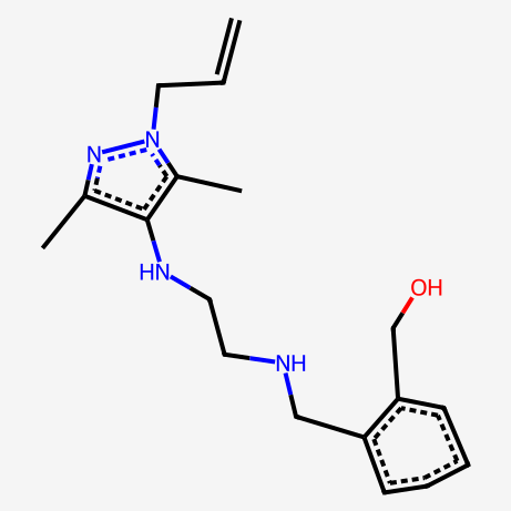 C=CCn1nc(C)c(NCCNCc2ccccc2CO)c1C